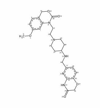 COc1ccc2c(c1)N(CCN1CCC(NCc3ccc4c(n3)NC(=O)CO4)CC1)C(=O)OC2